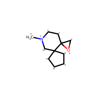 CN1CCC2(CO2)C2(CCCC2)C1